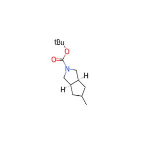 CC1C[C@@H]2CN(C(=O)OC(C)(C)C)C[C@@H]2C1